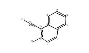 Cc1ccc2ccccc2[c]1[Mg][I]